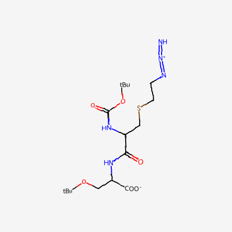 CC(C)(C)OCC(NC(=O)C(CSCCN=[N+]=N)NC(=O)OC(C)(C)C)C(=O)[O-]